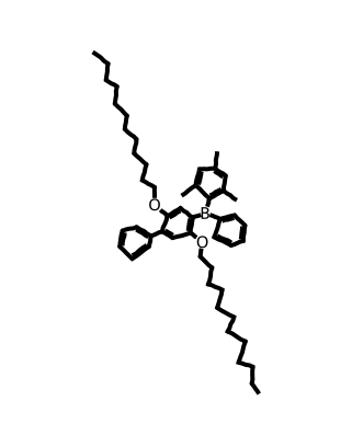 CCCCCCCCCCCCOc1cc(-c2ccccc2)c(OCCCCCCCCCCCC)cc1B(c1ccccc1)c1c(C)cc(C)cc1C